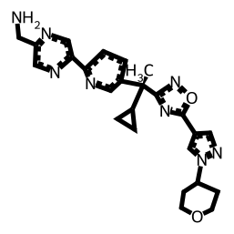 C[C@@](c1ccc(-c2cnc(CN)cn2)nc1)(c1noc(-c2cnn(C3CCOCC3)c2)n1)C1CC1